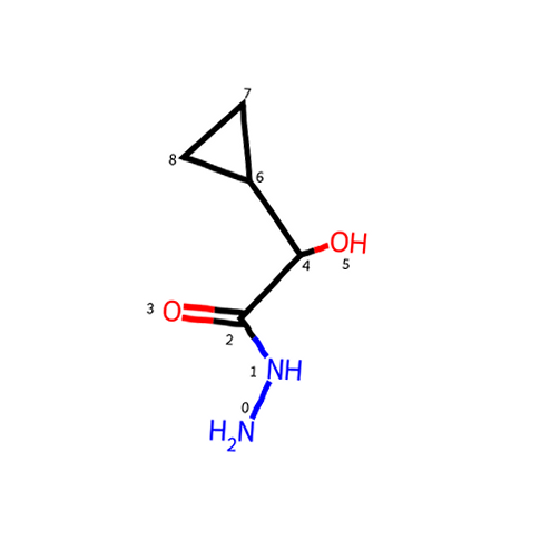 NNC(=O)C(O)C1CC1